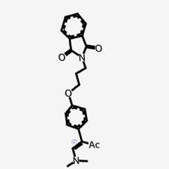 CC(=O)/C(=C\N(C)C)c1ccc(OCCCN2C(=O)c3ccccc3C2=O)cc1